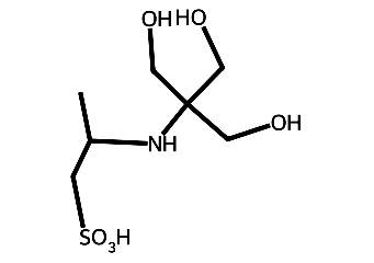 CC(CS(=O)(=O)O)NC(CO)(CO)CO